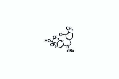 CCCCN(Cc1ccc(C)c(Cl)c1)c1ccc(C(O)(C(F)(F)F)C(F)(F)F)cc1